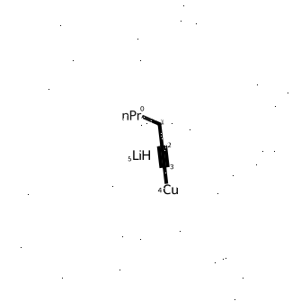 CCCCC#[C][Cu].[LiH]